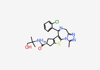 Cc1nnc2n1-c1sc3c(c1C(c1ccccc1Cl)=NC2)C[C@H](C(=O)NC(C)(C)CO)C3